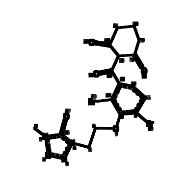 Cn1nnn(CCOc2c(Br)ccc(C(=O)C3C(=O)CCCC3=O)c2Br)c1=O